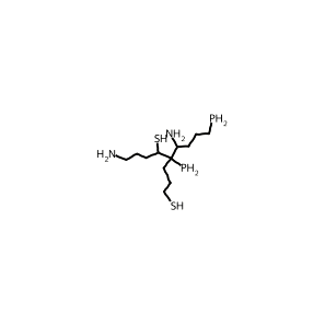 NCCCC(S)C(P)(CCCS)C(N)CCCP